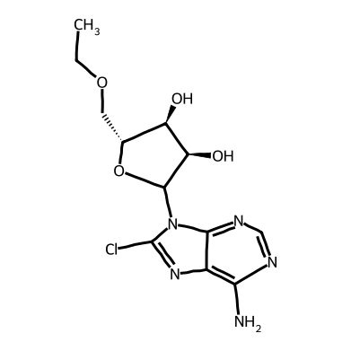 CCOC[C@H]1OC(n2c(Cl)nc3c(N)ncnc32)[C@H](O)[C@@H]1O